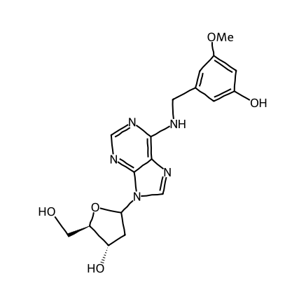 COc1cc(O)cc(CNc2ncnc3c2ncn3C2C[C@H](O)[C@@H](CO)O2)c1